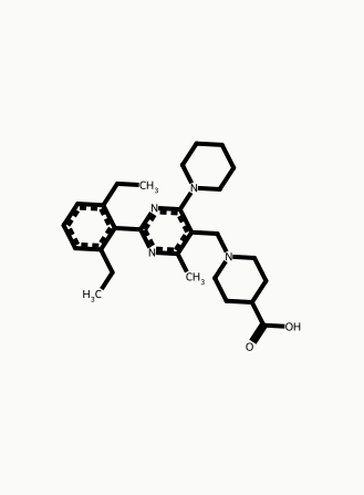 CCc1cccc(CC)c1-c1nc(C)c(CN2CCC(C(=O)O)CC2)c(N2CCCCC2)n1